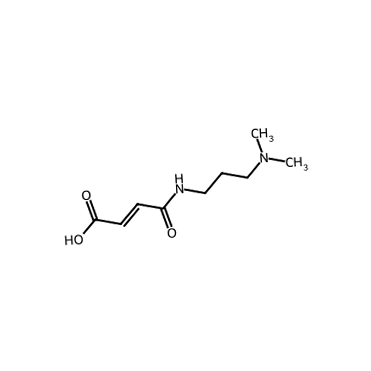 CN(C)CCCNC(=O)C=CC(=O)O